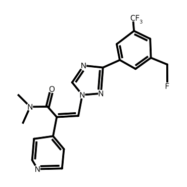 CN(C)C(=O)/C(=C\n1cnc(-c2cc(CF)cc(C(F)(F)F)c2)n1)c1ccncc1